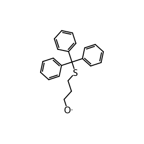 [O]CCCSC(c1ccccc1)(c1ccccc1)c1ccccc1